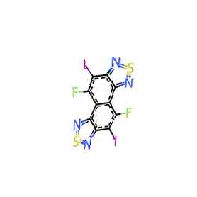 Fc1c(I)c2nsnc2c2c(F)c(I)c3nsnc3c12